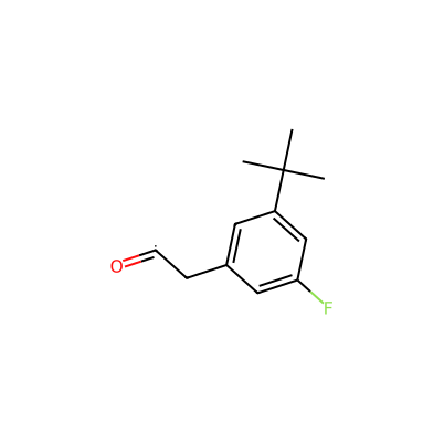 CC(C)(C)c1cc(F)cc(C[C]=O)c1